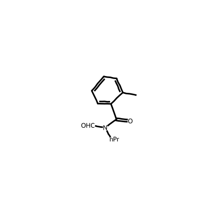 CCCN(C=O)C(=O)c1ccccc1C